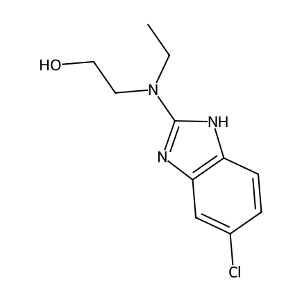 CCN(CCO)c1nc2cc(Cl)ccc2[nH]1